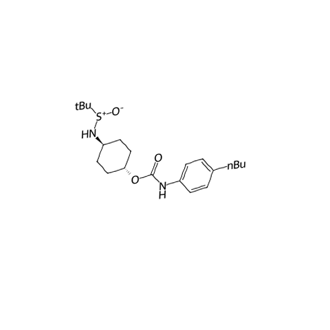 CCCCc1ccc(NC(=O)O[C@H]2CC[C@H](N[S+]([O-])C(C)(C)C)CC2)cc1